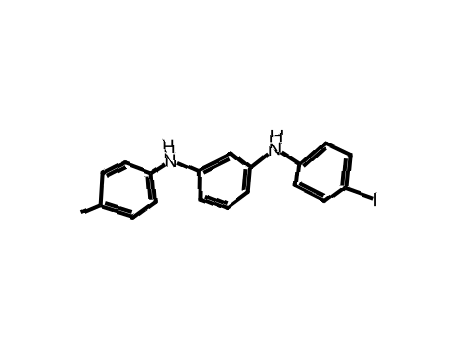 Cc1ccc(Nc2cccc(Nc3ccc(I)cc3)c2)cc1